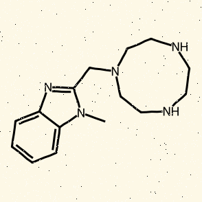 Cn1c(CN2CCNCCNCC2)nc2ccccc21